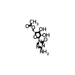 CC(=O)OC[C@H]1O[C@@H](n2cnc(N)nc2=O)[C@@H](O)C1O